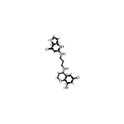 O=c1cc(NCCCN[C@@H]2CCOc3c(Br)cc(Cl)cc32)[nH]c2ccsc12